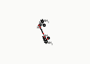 CC1=CC2=Nc3c(cc(N)c(C)c3C)N(c3ccccc3)C2C=C1NCCCCCCCCNc1cc2c(cc1C)nc1c(C)c(C)c(N)cc1[n+]2-c1ccccc1